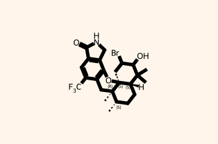 C[C@H]1CC[C@H]2C(C)(C)C(O)C(Br)C[C@]23Oc2c4c(cc(C(F)(F)F)c2C[C@]13C)C(=O)NC4